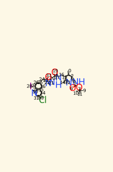 Cc1cc(NC(=O)OC(C)(C)C)nc(C)c1CNC(=O)c1nnc(Cc2cc(I)c3ncc(Cl)cc3c2)o1